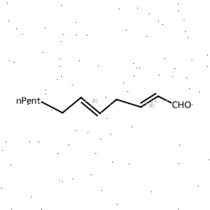 CCCCCC/C=C/C/C=C/[C]=O